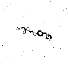 CC(=O)CC(=O)OCCOc1ccc(Cn2ccnc2)cc1